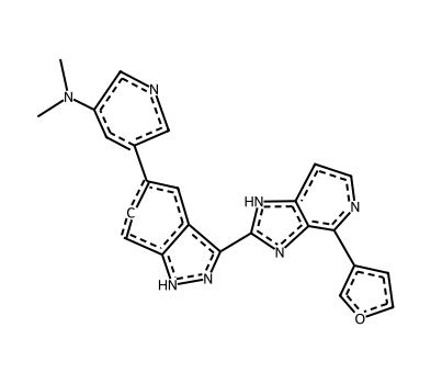 CN(C)c1cncc(-c2ccc3[nH]nc(-c4nc5c(-c6ccoc6)nccc5[nH]4)c3c2)c1